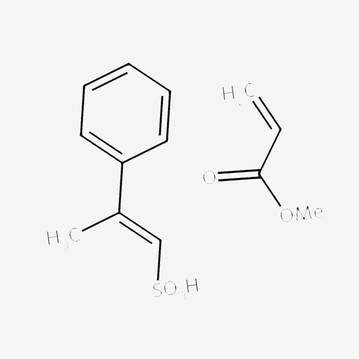 C=CC(=O)OC.CC(=CS(=O)(=O)O)c1ccccc1